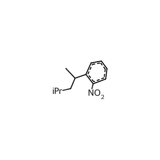 CC(C)CC(C)c1ccccc1[N+](=O)[O-]